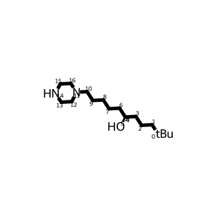 CC(C)(C)CCC[C@@H](O)CCCCCN1CCNCC1